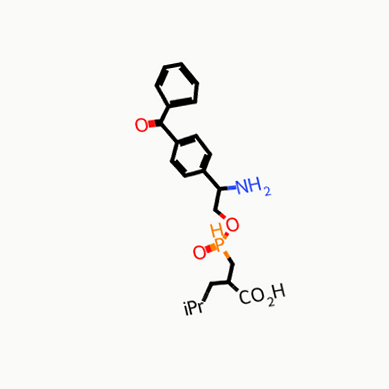 CC(C)CC(C[PH](=O)OCC(N)c1ccc(C(=O)c2ccccc2)cc1)C(=O)O